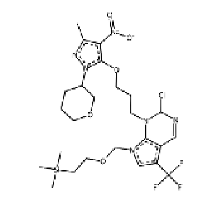 Cc1nn(C2CCCOC2)c(OCCCN2c3c(c(C(F)(F)F)cn3COCC[Si](C)(C)C)C=NC2Cl)c1[N+](=O)[O-]